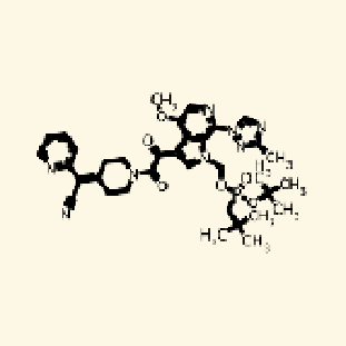 COc1cnc(-n2cnc(C)n2)c2c1c(C(=O)C(=O)N1CCC(=C(C#N)c3ccccn3)CC1)cn2COP(=O)(CC(C)(C)C)OC(C)(C)C